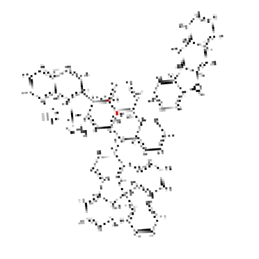 CC1(C)c2cc(N(c3ccc4c(c3)C(c3ccccc3)(c3ccccc3)c3ccccc3-4)c3ccccc3-c3ccccc3-c3ccc4oc5cc6ccccc6cc5c4c3)ccc2-c2ccc3ccccc3c21